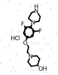 Cl.OC1CCN(CCOc2cc(F)c(N3CCNCC3)c(F)c2)CC1